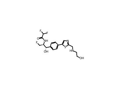 O=C(N[C@H](CF)[C@@H](O)c1ccc(-c2cnc(CNCCO)s2)cc1)C(F)F